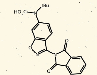 CC(C)(C)N(C(=O)O)c1ccc2c(N3C(=O)c4ccccc4C3=O)noc2c1